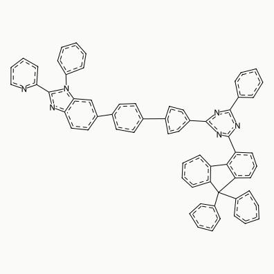 c1ccc(-c2nc(-c3ccc(-c4ccc(-c5ccc6nc(-c7ccccn7)n(-c7ccccc7)c6c5)cc4)cc3)nc(-c3cccc4c3-c3ccccc3C4(c3ccccc3)c3ccccc3)n2)cc1